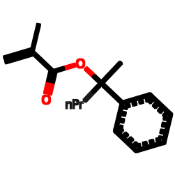 C=C(C)C(=O)OC(C)(CCC)c1ccccc1